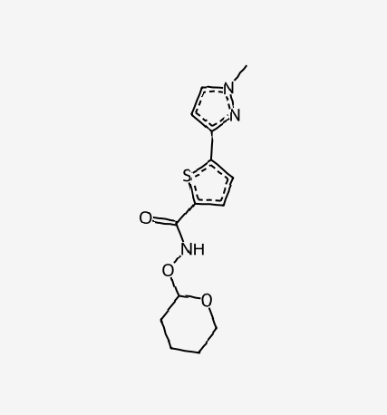 Cn1ccc(-c2ccc(C(=O)NOC3CCCCO3)s2)n1